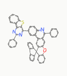 c1ccc(-c2nc(-c3ccc4nc(-c5ccccc5)c5cc6c(cc5c4c3)C3(c4ccccc4O6)c4ccccc4-c4ccccc43)c3sc4ccccc4c3n2)cc1